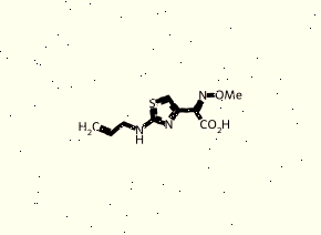 C=CCNc1nc(C(=NOC)C(=O)O)cs1